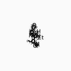 C=Cc1cc(-c2cc(NCC)c(=O)n(-c3cc(N4CCOCC4)ccc3[N+](=O)[O-])n2)cc(-c2ncco2)c1